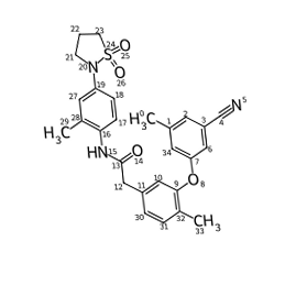 Cc1cc(C#N)cc(Oc2cc(CC(=O)Nc3ccc(N4CCCS4(=O)=O)cc3C)ccc2C)c1